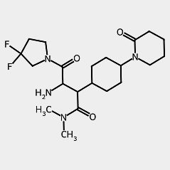 CN(C)C(=O)C(C1CCC(N2CCCCC2=O)CC1)C(N)C(=O)N1CCC(F)(F)C1